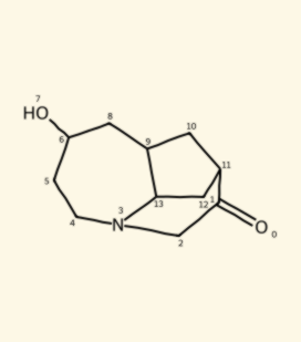 O=C1CN2CCC(O)CC3CC1CC32